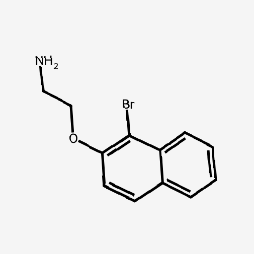 NCCOc1ccc2ccccc2c1Br